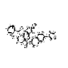 CCC[C@H]1N(C(=O)c2ncccc2C(F)(F)F)CCC[C@]1(Oc1csc(C(F)(F)F)c1)C(=O)N1CCc2cc(-c3ccsc3)ccc2C1